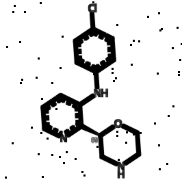 Clc1ccc(Nc2cccnc2[C@@H]2CNCCO2)cc1